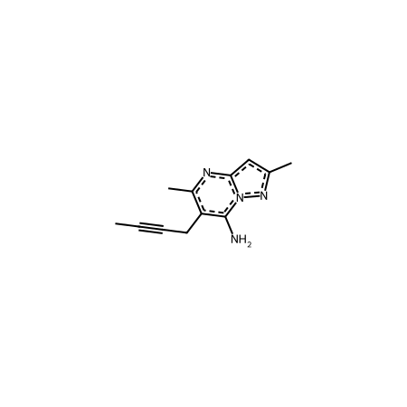 CC#CCc1c(C)nc2cc(C)nn2c1N